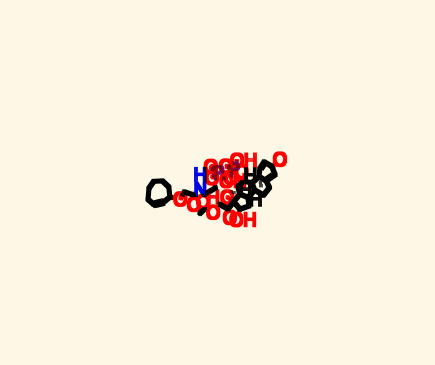 CC(=O)OCC(=O)[C@@]1(O)[C@H](O)C[C@H]2[C@@H]3CCC4=CC(=O)C=C[C@]4(C)[C@H]3[C@@H](OP(=O)(O)OP(=O)(O)OCCNC(=O)COC3C#CCCCCC3)C[C@@]21C